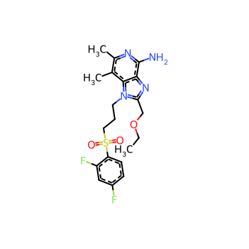 CCOCc1nc2c(N)nc(C)c(C)c2n1CCCS(=O)(=O)c1ccc(F)cc1F